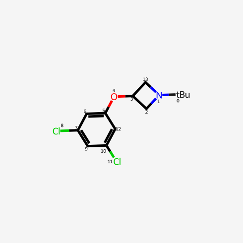 CC(C)(C)N1CC(Oc2cc(Cl)cc(Cl)c2)C1